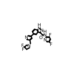 O=C(Nc1ncc(F)cc1F)c1n[nH]c2ccc(-c3cncc(CN4CCC(F)(F)C4)c3)cc12